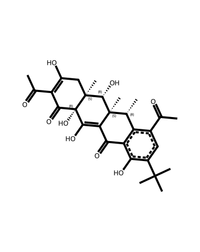 CC(=O)C1=C(O)C[C@@]2(C)[C@H](O)[C@]3(C)C(=C(O)[C@@]2(O)C1=O)C(=O)c1c(O)c(C(C)(C)C)cc(C(C)=O)c1[C@H]3C